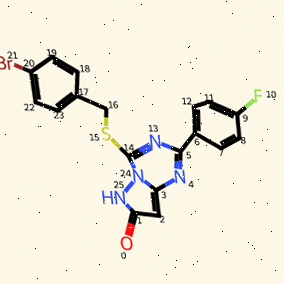 O=c1cc2nc(-c3ccc(F)cc3)nc(SCc3ccc(Br)cc3)n2[nH]1